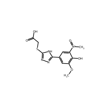 COc1cc(-c2nnc(SCC(=O)O)[nH]2)cc([N+](C)=O)c1O